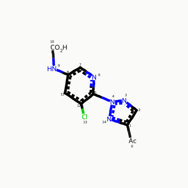 CC(=O)c1cnn(-c2ncc(NC(=O)O)cc2Cl)n1